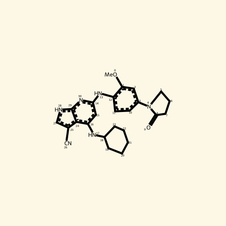 COc1cc(N2CCCC2=O)ccc1Nc1cc(NC2CCCCC2)c2c(C#N)c[nH]c2n1